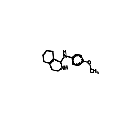 COc1ccc(NC2NCCC3=C2CCCC3)cc1